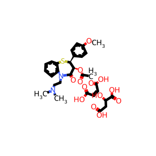 COc1ccc([C@@H]2Sc3ccccc3N(CCN(C)C)C(=O)[C@@H]2OC(C)=O)cc1.O=C(O)/C=C\C(=O)O.O=C(O)CC(O)C(=O)O